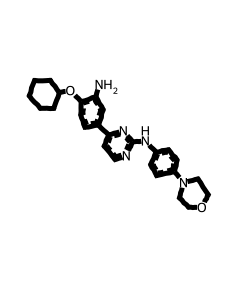 Nc1cc(-c2ccnc(Nc3ccc(N4CCOCC4)cc3)n2)ccc1OC1CCCCC1